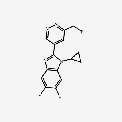 FCc1cc(-c2nc3cc(F)c(F)cc3n2C2CC2)cnn1